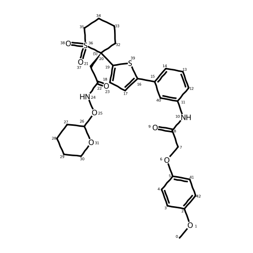 COc1ccc(OCC(=O)Nc2cccc(-c3ccc([C@@]4(CC(=O)NOC5CCCCO5)CCCCS4(=O)=O)s3)c2)cc1